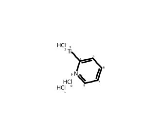 Cl.Cl.Cl.[Ti][c]1ccccn1